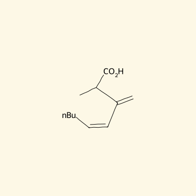 C=C(/C=C\CCCC)C(C)C(=O)O